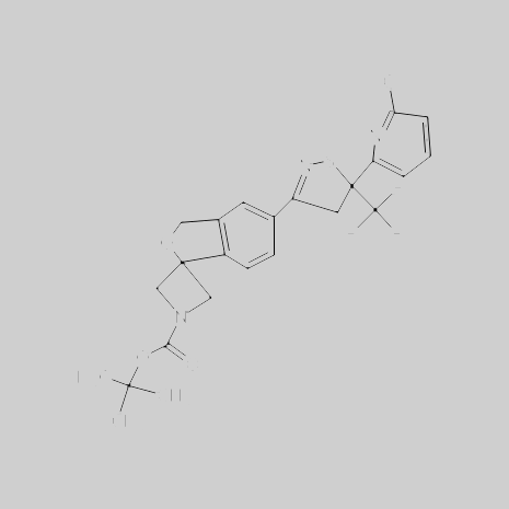 CC(C)(C)OC(=O)N1CC2(C1)OCc1cc(C3=NSC(c4cccc(Cl)n4)(C(F)(F)F)C3)ccc12